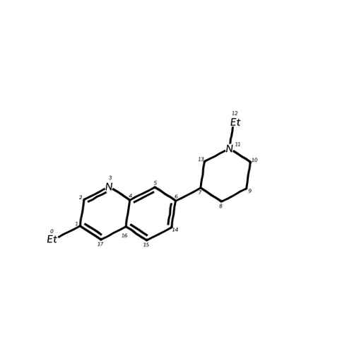 CCc1cnc2cc(C3CCCN(CC)C3)ccc2c1